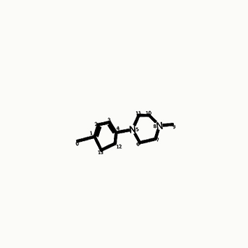 CC1=CC=C(N2CCN(C)CC2)CC1